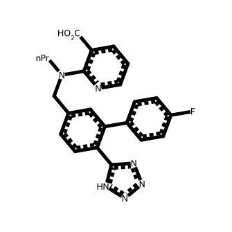 CCCN(Cc1ccc(-c2nnn[nH]2)c(-c2ccc(F)cc2)c1)c1ncccc1C(=O)O